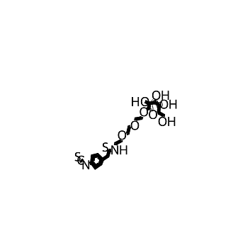 OCC1O[C@H](OCCOCCOCCNC(=S)Cc2ccc(N=C=S)cc2)C(O)[C@@H](O)[C@@H]1O